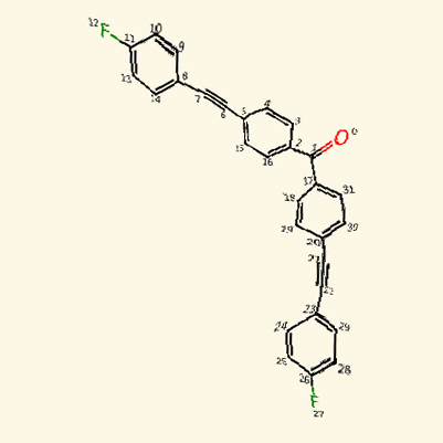 O=C(c1ccc(C#Cc2ccc(F)cc2)cc1)c1ccc(C#Cc2ccc(F)cc2)cc1